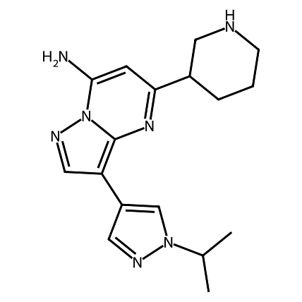 CC(C)n1cc(-c2cnn3c(N)cc(C4CCCNC4)nc23)cn1